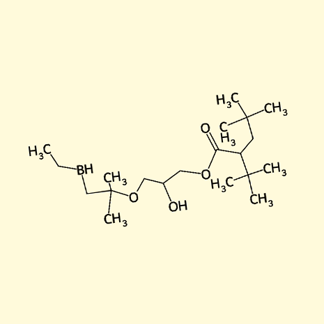 CCBCC(C)(C)OCC(O)COC(=O)C(CC(C)(C)C)C(C)(C)C